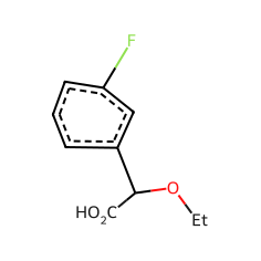 CCOC(C(=O)O)c1cccc(F)c1